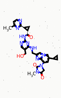 Cc1ccnc([C@H]2C[C@@H]2C(=O)Nc2ncc(CO)c(NCc3cn4cc(C5CC5)cc(N5CC(=O)N(C)C5=O)c4n3)n2)n1